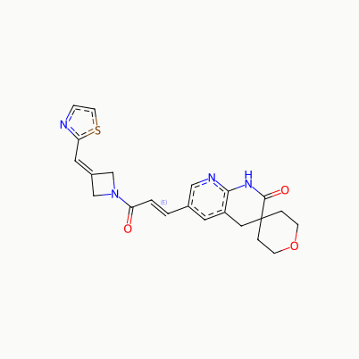 O=C(/C=C/c1cnc2c(c1)CC1(CCOCC1)C(=O)N2)N1CC(=Cc2nccs2)C1